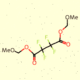 COCOC(=O)C(F)(F)C(F)(F)C(=O)OCOC